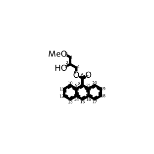 COCC(O)COC(=O)c1c2ccccc2cc2ccccc12